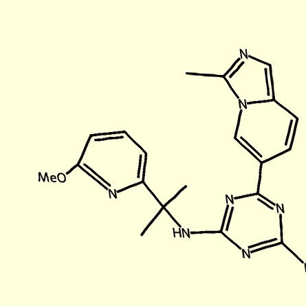 COc1cccc(C(C)(C)Nc2nc(N)nc(-c3ccc4cnc(C)n4c3)n2)n1